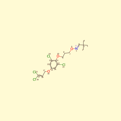 CC(C)(C)/C=N/OCCCOc1c(Cl)cc(OCC=C(Cl)Cl)cc1Cl